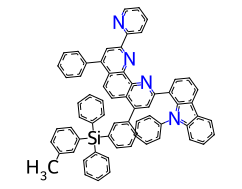 Cc1cccc([Si](c2ccccc2)(c2ccccc2)c2cccc(-c3cc(-c4cccc5c6ccccc6n(-c6ccccc6)c45)nc4c3ccc3c(-c5ccccc5)cc(-c5ccccn5)nc34)c2)c1